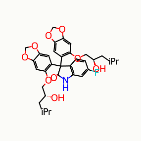 CC(C)C[C@@H](O)COc1cc2c(cc1C1(c3cc4c(cc3OC[C@H](O)CC(C)C)OCO4)C(=O)Nc3cc(F)ccc31)OCO2